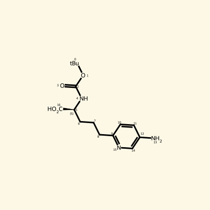 CC(C)(C)OC(=O)N[C@@H](CCCc1ccc(N)cn1)C(=O)O